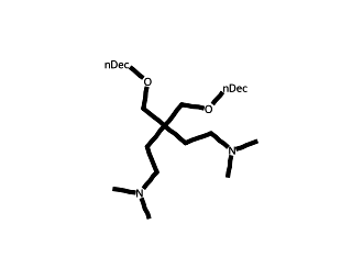 CCCCCCCCCCOCC(CCN(C)C)(CCN(C)C)COCCCCCCCCCC